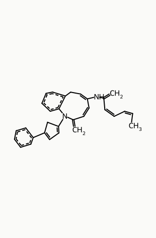 C=C(/C=C\C=C/C)NC1=C/Cc2ccccc2N(C2=CC=C(c3ccccc3)C2)C(=C)/C=C\1